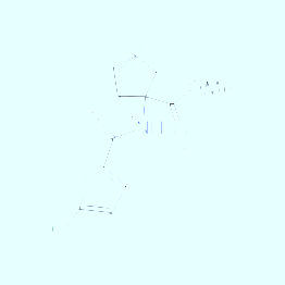 COC(=O)C1(NC(=O)c2ccc(Cl)s2)CC=CC1